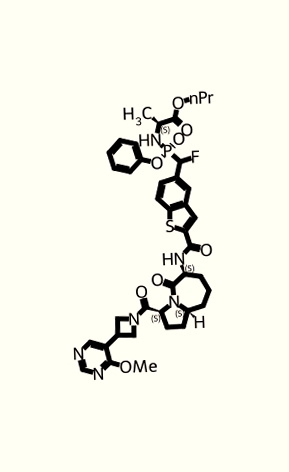 CCCOC(=O)[C@H](C)NP(=O)(Oc1ccccc1)C(F)c1ccc2sc(C(=O)N[C@H]3CCC[C@H]4CC[C@@H](C(=O)N5CC(c6cncnc6OC)C5)N4C3=O)cc2c1